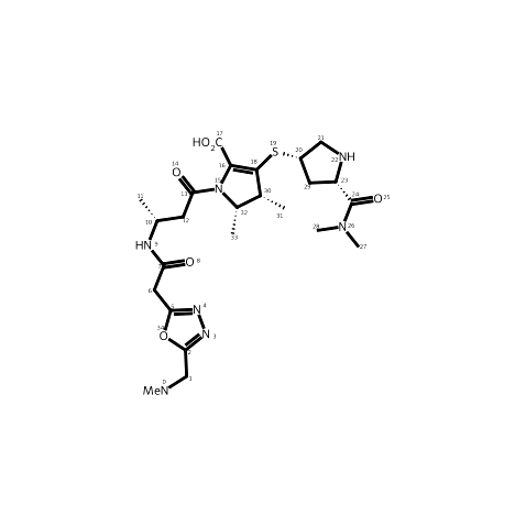 CNCc1nnc(CC(=O)N[C@H](C)CC(=O)N2C(C(=O)O)=C(S[C@@H]3CN[C@H](C(=O)N(C)C)C3)[C@H](C)[C@@H]2C)o1